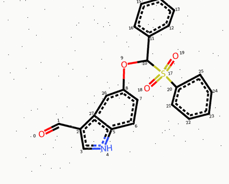 O=Cc1c[nH]c2ccc(OC(c3ccccc3)S(=O)(=O)c3ccccc3)cc12